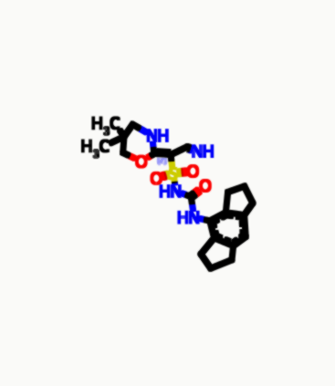 CC1(C)CN/C(=C(\C=N)S(=O)(=O)NC(=O)Nc2c3c(cc4c2CCC4)CCC3)OC1